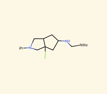 CNCNC1CC2CN(C(C)C)CC2(F)C1